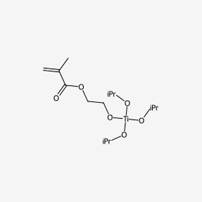 C=C(C)C(=O)OCC[O][Ti]([O]C(C)C)([O]C(C)C)[O]C(C)C